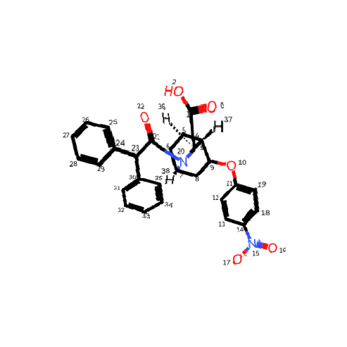 O=C(O)[C@H]1[C@@H]2CC[C@@H](CC2Oc2ccc([N+](=O)[O-])cc2)N1C(=O)C(c1ccccc1)c1ccccc1